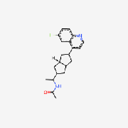 CC(=O)NC(C)C1CC2CC(c3ccnc4ccc(F)cc34)C[C@H]2C1